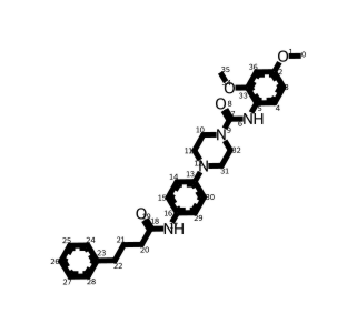 COc1ccc(NC(=O)N2CCN(c3ccc(NC(=O)CCCc4ccccc4)cc3)CC2)c(OC)c1